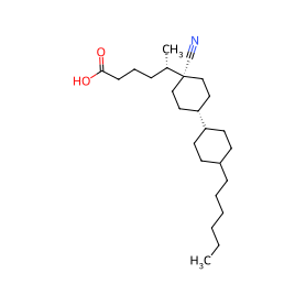 CCCCCCC1CCC([C@H]2CC[C@](C#N)([C@@H](C)CCCC(=O)O)CC2)CC1